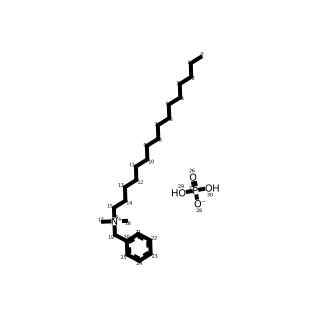 CCCCCCCCCCCCCCCC[N+](C)(C)Cc1ccccc1.O=P([O-])(O)O